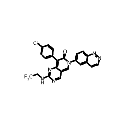 O=c1c(-c2ccc(Cl)cc2)c2nc(NCC(F)(F)F)ncc2cn1-c1ccc2nnccc2c1